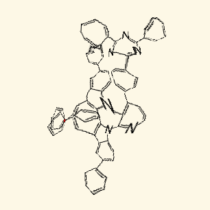 c1ccc(-c2ccc3c(c2)c2cc(-c4ccccc4)ccc2n3-c2nccc(-c3ccc(-c4nc(-c5ccccc5)nc(-c5ccccc5)n4)cc3)c2-n2c3ccc(-c4ccccc4)cc3c3cc(-c4ccccc4)ccc32)cc1